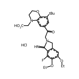 CCOc1cc2c(c(F)c1OCC)C(=N)N(CC(=O)c1cc3c(c(C(C)(C)C)c1)OCCN3CC(=O)O)C2.Cl